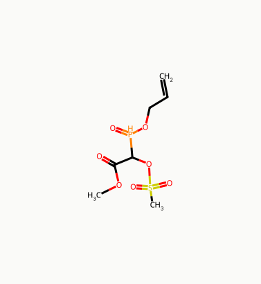 C=CCO[PH](=O)C(OS(C)(=O)=O)C(=O)OC